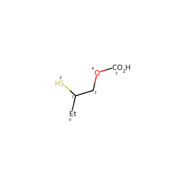 CCC(S)COC(=O)O